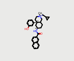 C[N@+]1(CC2CC2)CC[C@@]2(c3cccc(O)c3)C[C@H](NC(=O)c3ccc4ccccc4c3)CCC2C1